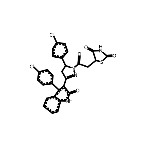 O=C1NC(=O)C(CC(=O)N2N=C(c3c(-c4ccc(Cl)cc4)c4ccccc4[nH]c3=O)CC2c2ccc(Cl)cc2)S1